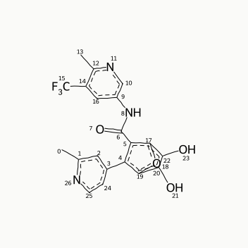 Cc1cc(-c2c(C(=O)Nc3cnc(C)c(C(F)(F)F)c3)c3oc2c(O)c3O)ccn1